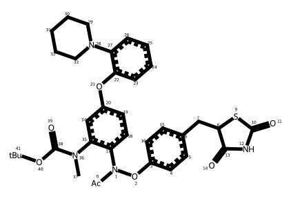 CC(=O)N(Oc1ccc(CC2SC(=O)NC2=O)cc1)c1ccc(Oc2ccccc2N2CCCCC2)cc1N(C)C(=O)OC(C)(C)C